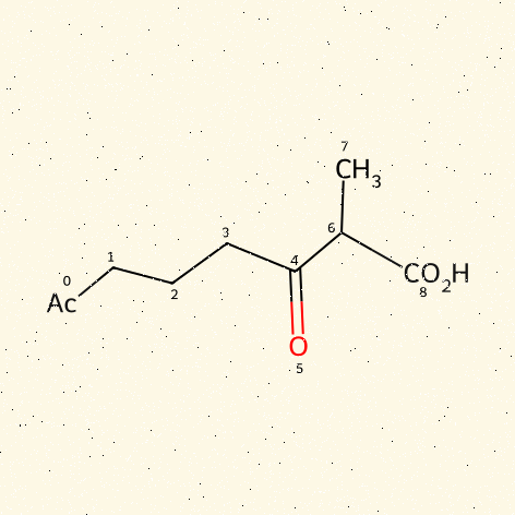 CC(=O)CCCC(=O)C(C)C(=O)O